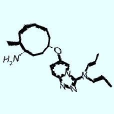 C=C1/C=C\C=C/C[C@H](Oc2ccc3nnc(N(/C=C/C)/C=C/C)n3c2)CC[C@@H]1N